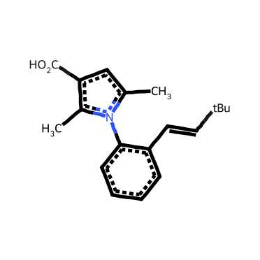 Cc1cc(C(=O)O)c(C)n1-c1ccccc1C=CC(C)(C)C